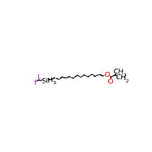 C=C(C)C(=O)OCCCCCCCCCCCCCCCC[SiH2]C(I)I